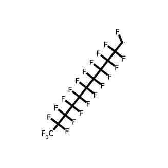 F[CH]C(F)(F)C(F)(F)C(F)(F)C(F)(F)C(F)(F)C(F)(F)C(F)(F)C(F)(F)C(F)(F)C(F)(F)F